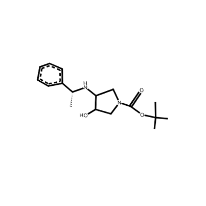 C[C@@H](NC1CN(C(=O)OC(C)(C)C)CC1O)c1ccccc1